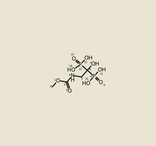 COC(=O)NCC(O)(P(=O)(O)O)P(=O)(O)O